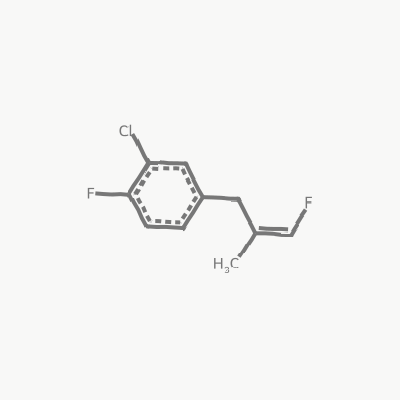 C/C(=C/F)Cc1ccc(F)c(Cl)c1